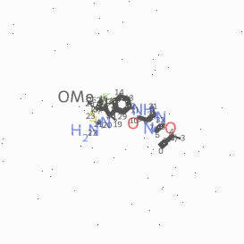 C#C[C@H](C)Oc1cnc(C(=O)Nc2ccc(F)c([C@]3(C)N=C(N)S[C@@]4(COC)C[C@H]43)c2)c(C)n1